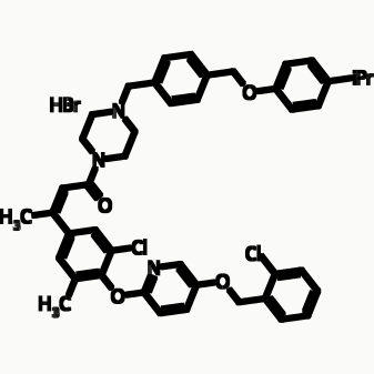 Br.C/C(=C/C(=O)N1CCN(Cc2ccc(COc3ccc(C(C)C)cc3)cc2)CC1)c1cc(C)c(Oc2ccc(OCc3ccccc3Cl)cn2)c(Cl)c1